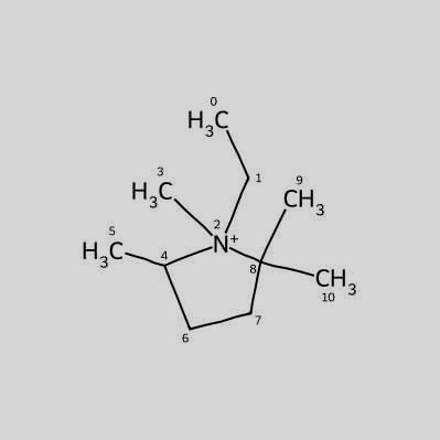 CC[N+]1(C)C(C)CCC1(C)C